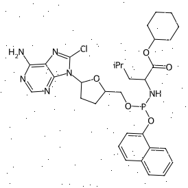 CC(C)CC(NP(OCC1CCC(n2c(Cl)nc3c(N)ncnc32)O1)Oc1cccc2ccccc12)C(=O)OC1CCCCC1